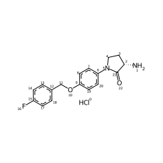 Cl.N[C@H]1CCN(c2ccc(OCc3ccc(F)cc3)cc2)C1=O